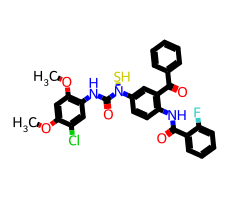 COc1cc(OC)c(NC(=O)N(S)c2ccc(NC(=O)c3ccccc3F)c(C(=O)c3ccccc3)c2)cc1Cl